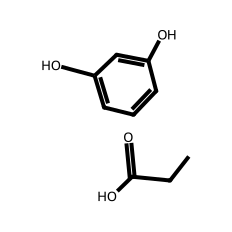 CCC(=O)O.Oc1cccc(O)c1